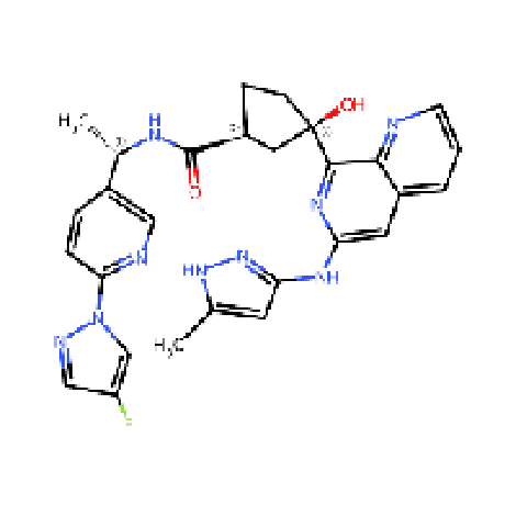 Cc1cc(Nc2cc3cccnc3c([C@@]3(O)CC[C@H](C(=O)N[C@@H](C)c4ccc(-n5cc(F)cn5)nc4)C3)n2)n[nH]1